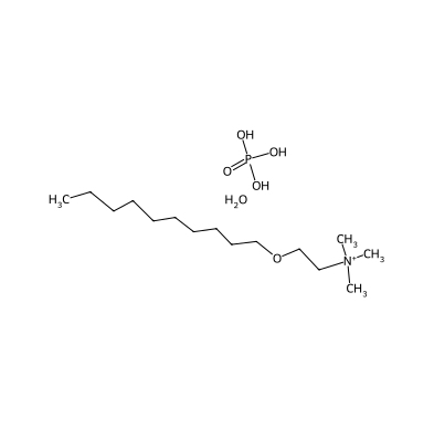 CCCCCCCCCCOCC[N+](C)(C)C.O.O=P(O)(O)O